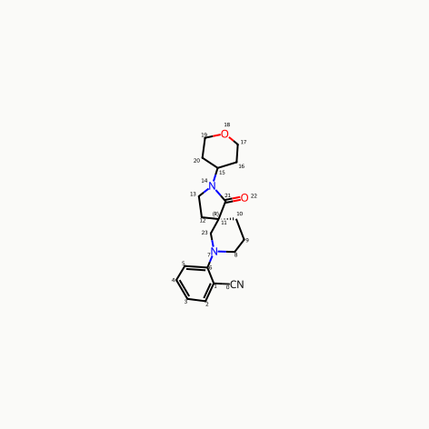 N#Cc1ccccc1N1CCC[C@@]2(CCN(C3CCOCC3)C2=O)C1